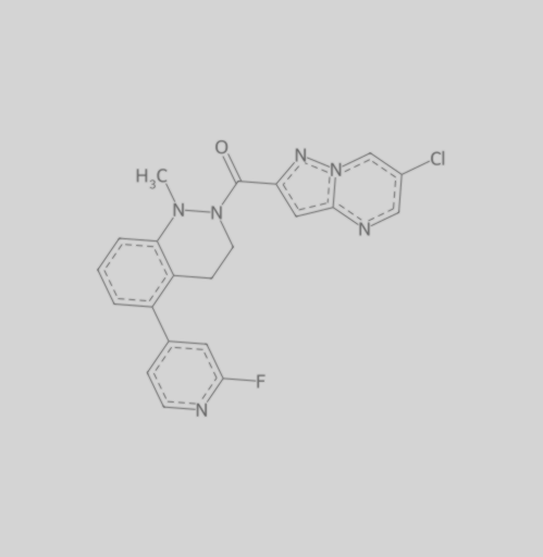 CN1c2cccc(-c3ccnc(F)c3)c2CCN1C(=O)c1cc2ncc(Cl)cn2n1